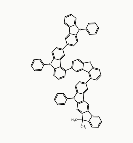 CC1(C)c2ccccc2-c2cc3c4cc(-c5cccc6oc7ccc(-c8cccc9c8c8cc(-c%10ccc%11c(c%10)c%10ccccc%10n%11-c%10ccccc%10)ccc8n9-c8ccccc8)cc7c56)ccc4n(-c4ccccc4)c3cc21